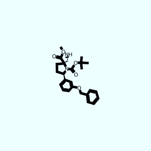 COC(=O)[C@]1(I=N)CC[C@H](c2cccc(OCc3ccccc3)c2)N1C(=O)OC(C)(C)C